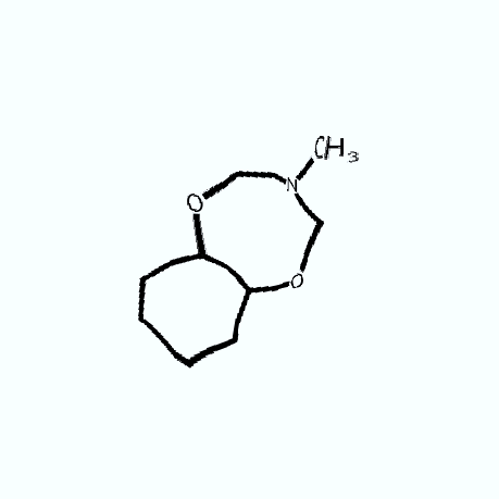 CN1COC2CCCCC2OC1